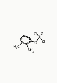 Cc1cccc(O[Si](Cl)(Cl)Cl)c1C